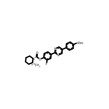 CCCCCCCCCCc1ccc(-c2cnc(-c3ccc(OC(=O)[C@H]4CCCC[C@H]4C)c(F)c3)nc2)cc1